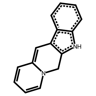 C1=CC2=Cc3c([nH]c4ccccc34)CN2C=C1